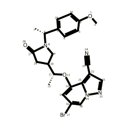 COc1ccc([C@@H](C)N2CC([C@@H](C)Oc3cc(Br)cn4ncc(C#N)c34)CC2=O)cc1